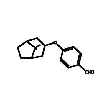 CN1C2CCC1CC(Oc1ccc(C=O)cc1)C2